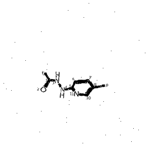 CC(=O)NNc1ccc(C)cn1